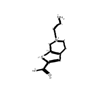 NCCN1CCc2cc(C(=O)O)sc2C1